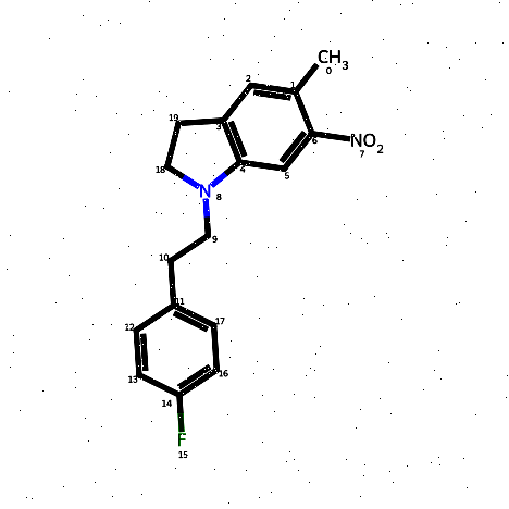 Cc1cc2c(cc1[N+](=O)[O-])N(CCc1ccc(F)cc1)CC2